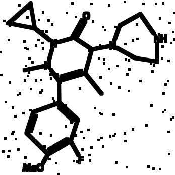 COc1ccc(C2=C(C)C(N3CCNCC3)C(=O)N(C3CC3)N2C)cc1F